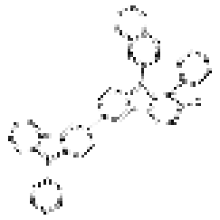 c1ccc(-n2c3ccccc3c3cc(-c4ccc5c(c4)c4ccc6oc7ccccc7c6c4n5-c4ccc5ccccc5c4)ccc32)cc1